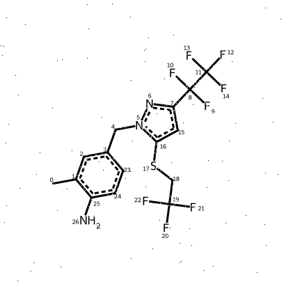 Cc1cc(Cn2nc(C(F)(F)C(F)(F)F)cc2SCC(F)(F)F)ccc1N